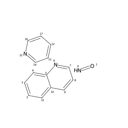 N=O.c1ccc2ncccc2c1.c1ccncc1